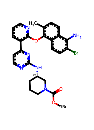 Cc1ccc2c(N)c(Br)ccc2c1Oc1ncccc1-c1ccnc(N[C@H]2CCCN(C(=O)OC(C)(C)C)C2)n1